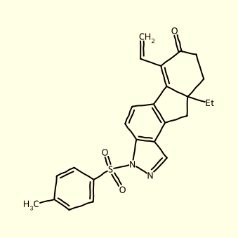 C=CC1=C2c3ccc4c(cnn4S(=O)(=O)c4ccc(C)cc4)c3CC2(CC)CCC1=O